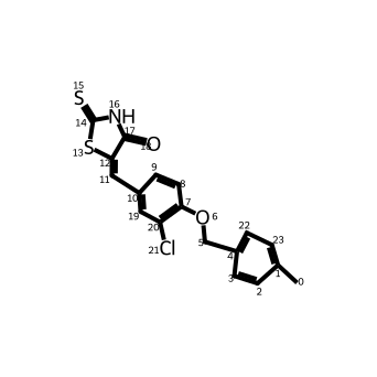 Cc1ccc(COc2ccc(C=C3SC(=S)NC3=O)cc2Cl)cc1